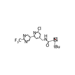 CC(C)(C)N1C2CC(C2)C1C(=O)NCc1cc(Cl)nc(-c2cnc(C(F)(F)F)nc2)c1